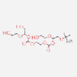 CCCC(C)(C)OCC(OCCO)OC(=O)OCCOC(=O)OC(CO)OCCO